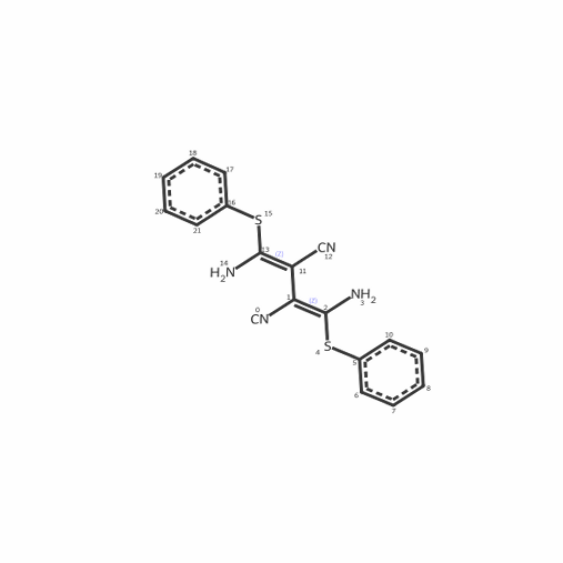 [C-]#[N+]C(=C(/N)Sc1ccccc1)/C(C#N)=C(\N)Sc1ccccc1